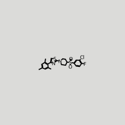 Cc1cc(C)c(-c2csc(N3CCC(S(=O)(=O)c4ccc(F)c(Cl)c4)CC3)n2)c(C)c1